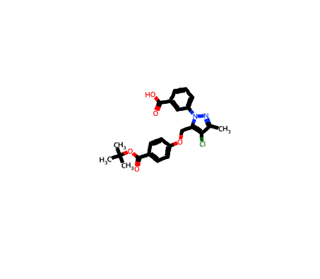 Cc1nn(-c2cccc(C(=O)O)c2)c(COc2ccc(C(=O)OC(C)(C)C)cc2)c1Cl